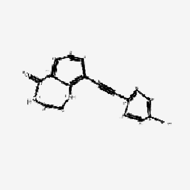 O=C1NCCNc2c(C#Cc3ccc(F)cc3)cccc21